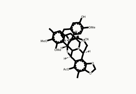 COc1cc2c(cc1O)CCN[C@]21CS[C@@H]2c3c(OC(C)=O)c(C)c4c(c3[C@H](COC1=O)N1C2[C@@H]2c3c(cc(C)c(OC)c3OC)C[C@@H]([C@@H]1C#N)N2C)OCO4